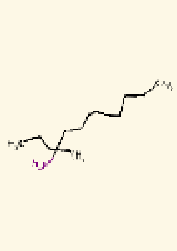 CCCCCCC[C@](C)(P)CC